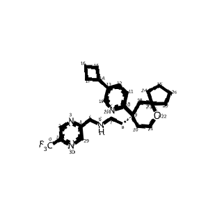 FC(F)(F)c1cnc(CNCC[C@@]2(c3ccc(C4CCC4)cn3)CCOC3(CCCC3)C2)cn1